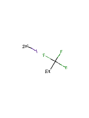 [CH2-]CC(F)(F)F.[Zn+][I]